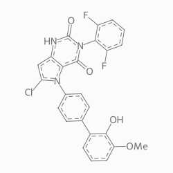 COc1cccc(-c2ccc(-n3c(Cl)cc4[nH]c(=O)n(-c5c(F)cccc5F)c(=O)c43)cc2)c1O